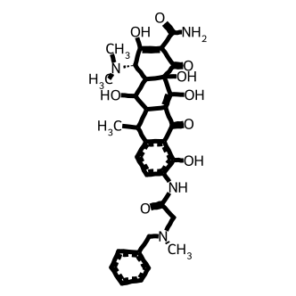 CC1c2ccc(NC(=O)CN(C)Cc3ccccc3)c(O)c2C(=O)C2=C(O)C3(O)C(=O)C(C(N)=O)=C(O)[C@@H](N(C)C)C3C(O)C21